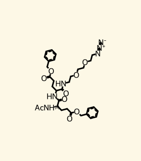 CC(=O)N[C@H](CCC(=O)OCc1ccccc1)C(=O)NC(CCC(=O)OCc1ccccc1)C(=O)NCCOCCOCCN=[N+]=[N-]